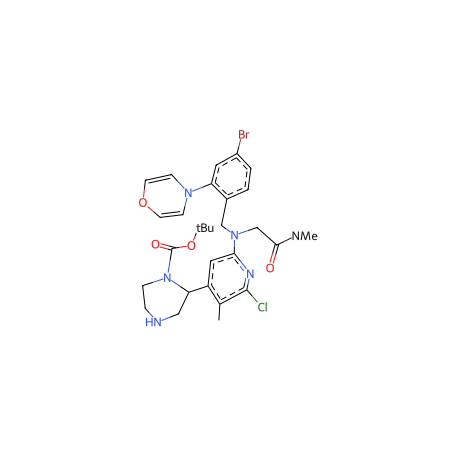 CNC(=O)CN(Cc1ccc(Br)cc1N1C=COC=C1)c1cc(C2CNCCN2C(=O)OC(C)(C)C)c(C)c(Cl)n1